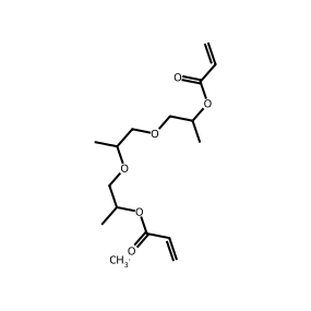 C=CC(=O)OC(C)COCC(C)OCC(C)OC(=O)C=C.[CH3]